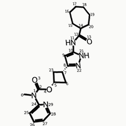 CN(C(=O)O[C@H]1C[C@@H](c2cc(NC(=O)C3CCCCCC3)[nH]n2)C1)c1ccccn1